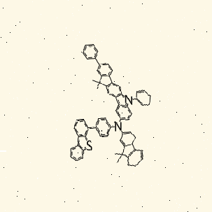 CC1(C)C2=CC(N(c3ccc(-c4cccc5c4sc4ccccc45)cc3)c3ccc4c(c3)c3cc5c(cc3n4C3=CCCC=C3)-c3ccc(-c4ccccc4)cc3C5(C)C)=CCC2C2=C1CCC=C2